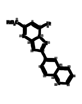 CCOC(=O)c1cc(CC)n2nc(-c3ccc4ncccc4c3)cc2n1